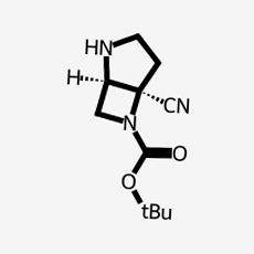 CC(C)(C)OC(=O)N1C[C@H]2NCC[C@]21C#N